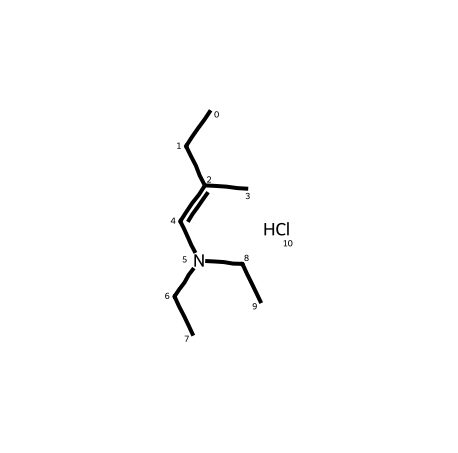 CC/C(C)=C/N(CC)CC.Cl